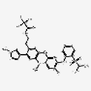 COc1cc(-c2cnn(C)c2)c(CCNC(=O)C(F)(F)F)cc1Nc1ncc(Cl)c(Nc2ccccc2S(=O)(=O)C(C)C)n1